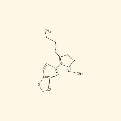 CCCCC1=C(c2ccc3c(c2)OCO3)/C(=N/O)CC1